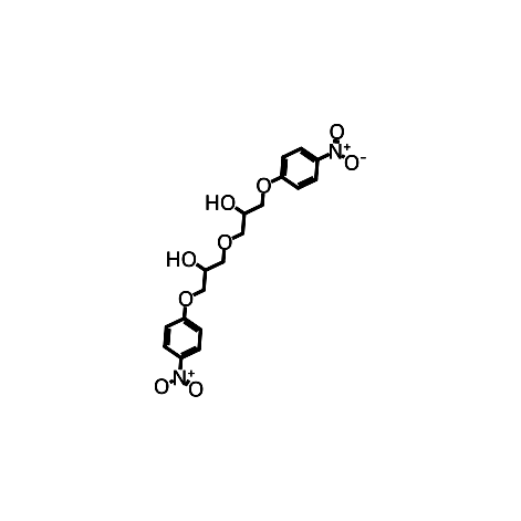 O=[N+]([O-])c1ccc(OCC(O)COCC(O)COc2ccc([N+](=O)[O-])cc2)cc1